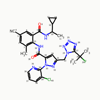 Cc1cc(C#N)cc(C(=O)NC(C)C2CC2)c1NC(=O)c1cc(Cn2nnnc2C(F)(C(F)(F)F)C(F)(F)F)nn1-c1ncccc1Cl